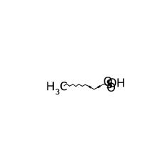 CCCCCCCCC#CCC#CCCS(=O)(=O)O